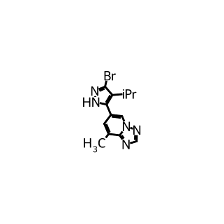 Cc1cc(-c2[nH]nc(Br)c2C(C)C)cn2ncnc12